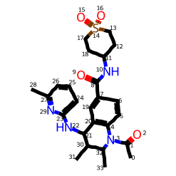 CC(=O)N1c2ccc(C(=O)NC3CCS(=O)(=O)CC3)cc2C(Nc2cccc(C)n2)C(C)C1C